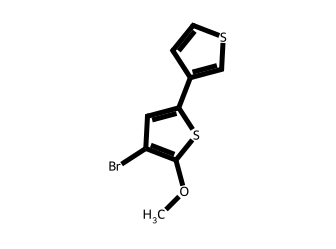 COc1sc(-c2ccsc2)cc1Br